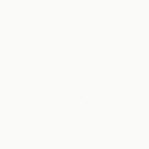 O=C(CCCC1=CC=CCC1=S)NC(Cc1ccc(C(F)(F)F)cc1)C(=O)c1ccc(F)cc1